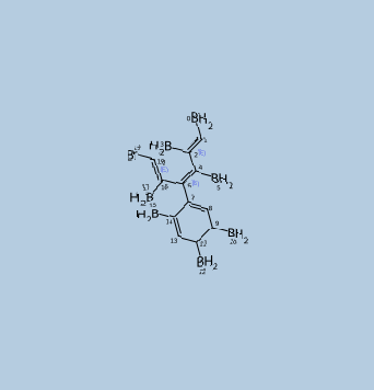 B/C=C(B)/C(B)=C(C1=CC(B)C(B)C=C1B)\C(B)=C\Br